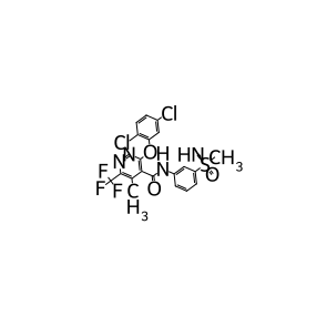 Cc1c(C(F)(F)F)nnc(Oc2cc(Cl)ccc2Cl)c1C(=O)Nc1cccc(S(C)(=N)=O)c1